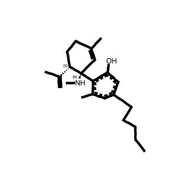 C=C(C)[C@@H]1CCC(C)=C[C@@]1(NC)c1c(C)cc(CCCCC)cc1O